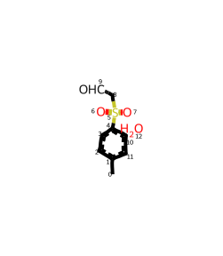 Cc1ccc(S(=O)(=O)CC=O)cc1.O